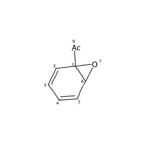 CC(=O)C12C=CC=CC1O2